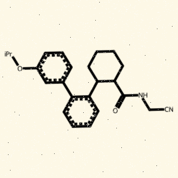 CC(C)Oc1cccc(-c2ccccc2C2CCCCC2C(=O)NCC#N)c1